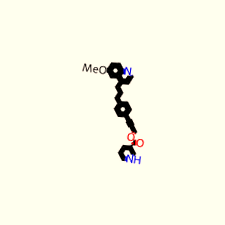 COc1ccc2nccc(CCCc3ccc(C#CCOC(=O)[C@@H]4CCCNC4)cc3)c2c1